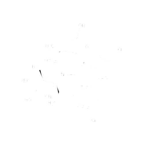 CC[C@@H]([C@H](C)C(C)(C)O)N1C(=O)[C@@](C)(CC(=O)O)C[C@H](c2cccc(Cl)c2)C1c1ccc(Cl)cc1